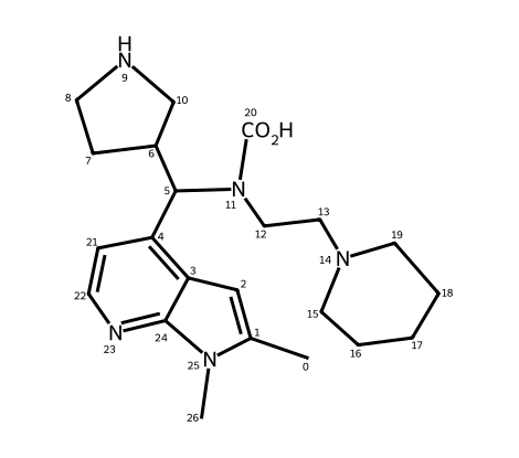 Cc1cc2c(C(C3CCNC3)N(CCN3CCCCC3)C(=O)O)ccnc2n1C